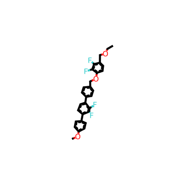 CCOCc1ccc(OCc2ccc(-c3ccc(-c4ccc(OC)cc4)c(F)c3F)cc2)c(F)c1F